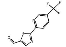 O=Cc1cnc(-c2ccc(C(F)(F)F)cn2)s1